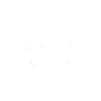 O=C(Nc1ccccc1)c1n[nH]c2ccc(-c3cncc(CN4CCC4)c3)cc12